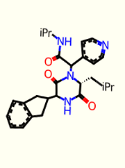 CC(C)C[C@@H]1C(=O)NC(C2Cc3ccccc3C2)C(=O)N1C(C(=O)NC(C)C)c1ccncc1